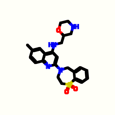 Cc1ccc2nc(N3CCS(=O)(=O)c4ccccc4C3)cc(NCC3CNCCO3)c2c1